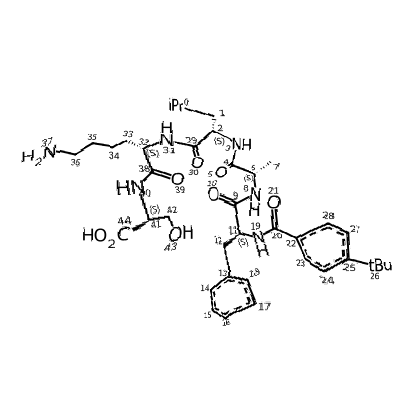 CC(C)C[C@H](NC(=O)[C@H](C)NC(=O)[C@H](Cc1ccccc1)NC(=O)c1ccc(C(C)(C)C)cc1)C(=O)N[C@@H](CCCCN)C(=O)N[C@@H](CO)C(=O)O